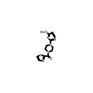 COc1ccnc(N2CCN(C(=O)c3nccs3)CC2)n1